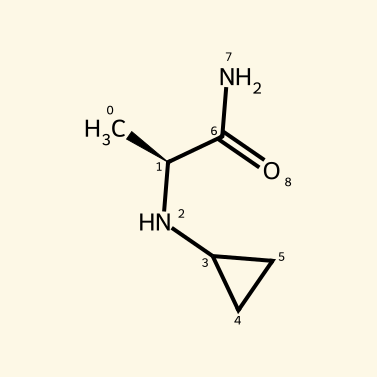 C[C@H](NC1CC1)C(N)=O